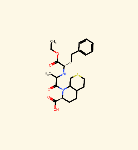 CCOC(=O)[C@H](CCc1ccccc1)NC(C)C(=O)N1C2CSCCC2CC[C@H]1C(=O)O